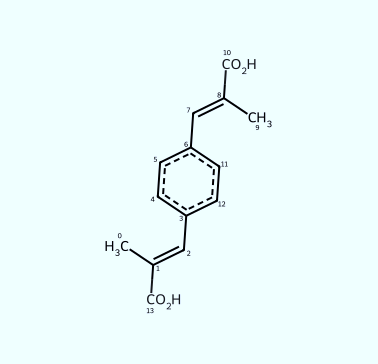 CC(=Cc1ccc(C=C(C)C(=O)O)cc1)C(=O)O